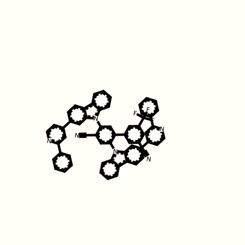 N#Cc1cc(-c2cc(-n3c4ccccc4c4ccc(-c5ccnc(-c6ccccc6)c5)cc43)c(C#N)cc2-n2c3ccccc3c3ccc(-c4ccnc(-c5ccccc5)c4)cc32)cc(C(F)(F)F)c1